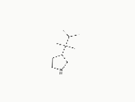 CC(C)C(C)(C)C1CCNC1